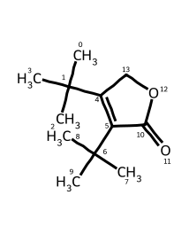 CC(C)(C)C1=C(C(C)(C)C)C(=O)OC1